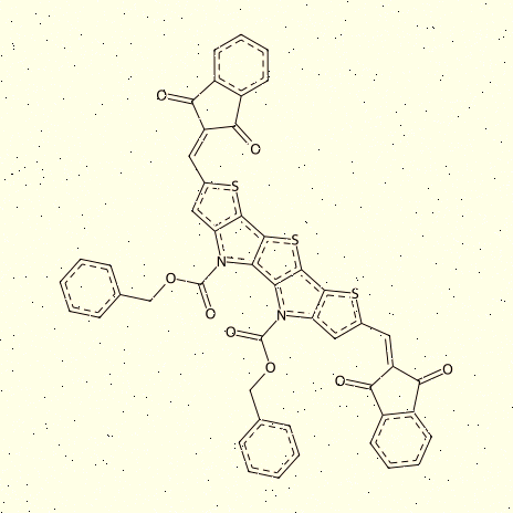 O=C1C(=Cc2cc3c(s2)c2sc4c5sc(C=C6C(=O)c7ccccc7C6=O)cc5n(C(=O)OCc5ccccc5)c4c2n3C(=O)OCc2ccccc2)C(=O)c2ccccc21